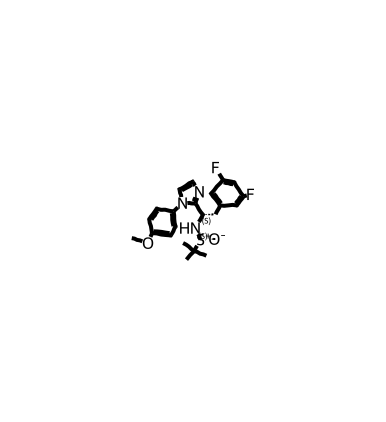 COc1ccc(-n2ccnc2[C@H](Cc2cc(F)cc(F)c2)N[S@+]([O-])C(C)(C)C)cc1